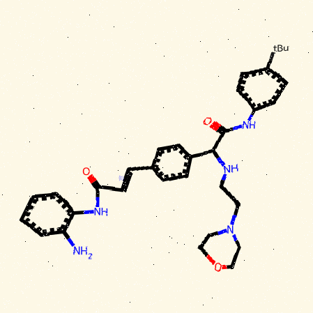 CC(C)(C)c1ccc(NC(=O)C(NCCN2CCOCC2)c2ccc(/C=C/C(=O)Nc3ccccc3N)cc2)cc1